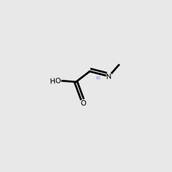 C/N=C/C(=O)O